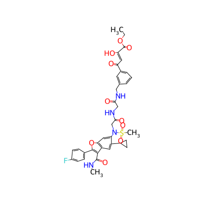 CCOC(=O)C(O)=CC(=O)c1cccc(CNC(=O)CNC(=O)CN(c2cc3oc(-c4ccc(F)cc4)c(C(=O)NC)c3cc2C2CC2)S(C)(=O)=O)c1